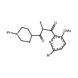 COc1ccc(Br)nc1C(=O)C(C)C(=O)C1CCN(C(C)C)CC1